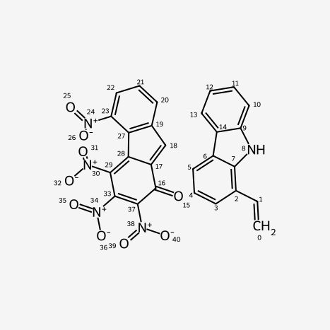 C=Cc1cccc2c1[nH]c1ccccc12.O=C1C2=Cc3cccc([N+](=O)[O-])c3C2=C([N+](=O)[O-])C([N+](=O)[O-])=C1[N+](=O)[O-]